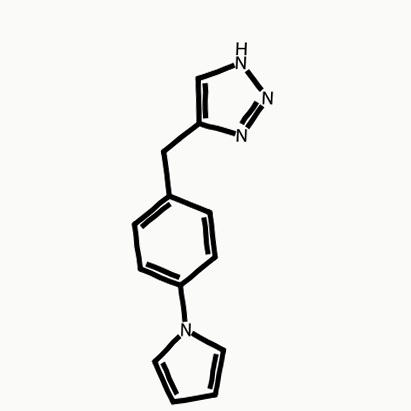 c1ccn(-c2ccc(Cc3c[nH]nn3)cc2)c1